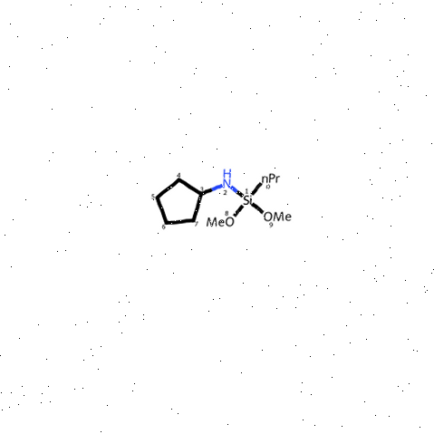 CCC[Si](NC1CCCC1)(OC)OC